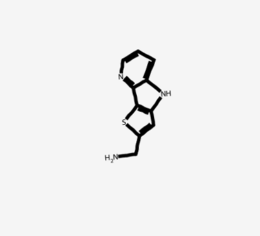 NCc1cc2[nH]c3cccnc3c2s1